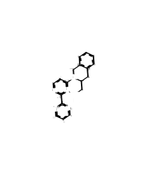 CCC1Cc2ccccc2CN1c1ccnc(-c2ncccn2)n1